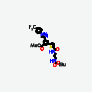 COC(=O)c1cc(-c2cn(-c3ccc(C(F)(F)F)cc3)nn2)cc(-c2ccc(C(=O)NCCCNC(=O)OC(C)(C)C)s2)c1